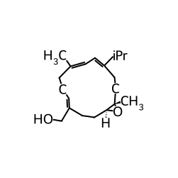 C/C1=C\C=C(\C(C)C)CC[C@]2(C)O[C@H]2CC/C(CO)=C/CC1